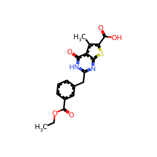 CCOC(=O)c1cccc(Cc2nc3sc(C(=O)O)c(C)c3c(=O)[nH]2)c1